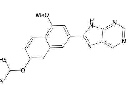 CCCC(S)Oc1ccc2c(OC)cc(-c3nc4cncnc4[nH]3)cc2c1